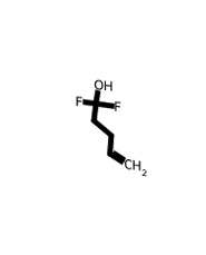 C=CCCC(O)(F)F